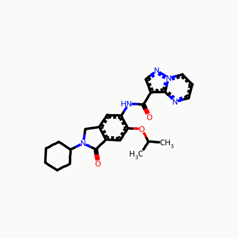 CC(C)Oc1cc2c(cc1NC(=O)c1cnn3cccnc13)CN(C1CCCCC1)C2=O